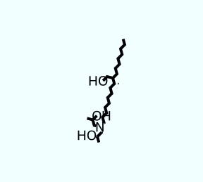 CCCCCCCCC([CH]CCCCCCCCN(CC(C)O)CC(C)O)CO